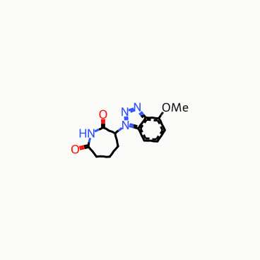 COc1cccc2c1nnn2C1CCCC(=O)NC1=O